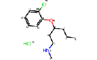 CCCC(CCNC)Oc1ccccc1Cl.Cl